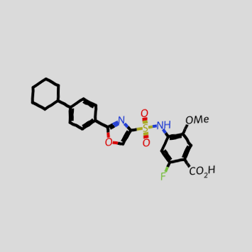 COc1cc(C(=O)O)c(F)cc1NS(=O)(=O)c1coc(-c2ccc(C3CCCCC3)cc2)n1